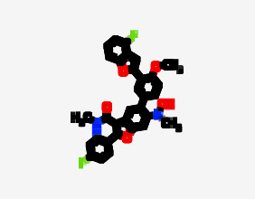 CNC(=O)c1c(-c2ccc(F)cc2)oc2cc(N(C)O)c(-c3ccc(OC)c(-c4cc5c(F)cccc5o4)c3)cc12